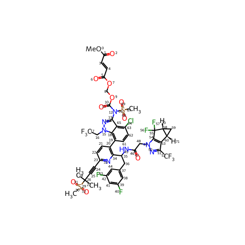 COC(=O)/C=C/C(=O)OCOC(=O)N(c1nn(CC(F)(F)F)c2c(-c3ccc(C#CC(C)(C)S(C)(=O)=O)nc3C(Cc3cc(F)cc(F)c3)NC(=O)Cn3nc(C(F)(F)F)c4c3C(F)(F)[C@@H]3C[C@H]43)ccc(Cl)c12)S(C)(=O)=O